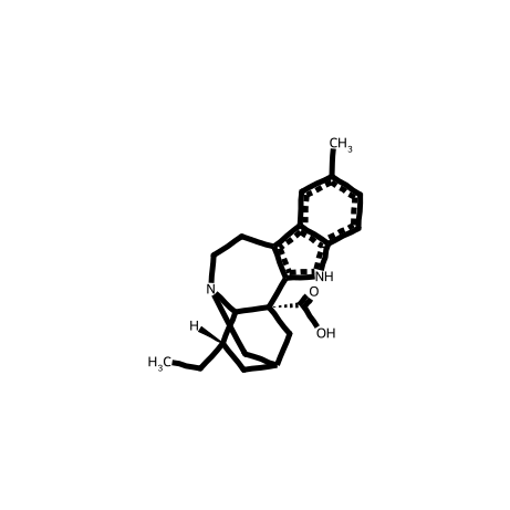 CC[C@H]1CC2CN3CCc4c([nH]c5ccc(C)cc45)[C@@](C(=O)O)(C2)C13